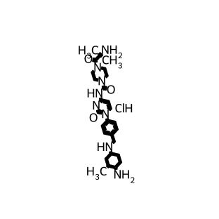 CC1CC(NCc2ccc(-n3ccc(NC(=O)N4CCN(C(=O)C(C)(C)N)CC4)nc3=O)cc2)CCC1N.Cl